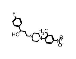 Cc1cc([N+](=O)[O-])ccc1N1CCN(CCC(O)c2ccc(F)cc2)CC1